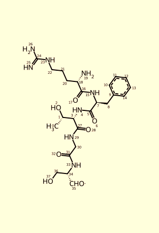 C[C@H](O)[C@H](NC(=O)[C@H](Cc1ccccc1)NC(=O)[C@@H](N)CCCNC(=N)N)C(=O)NCC(=O)N[C@H]([C]=O)CO